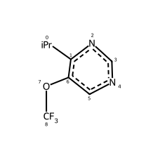 CC(C)c1ncncc1OC(F)(F)F